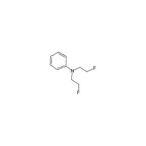 FCCN(CCF)c1ccccc1